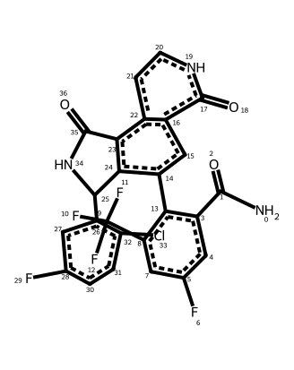 NC(=O)c1cc(F)cc(C(F)(F)F)c1-c1cc2c(=O)[nH]ccc2c2c1C(c1cc(F)ccc1Cl)NC2=O